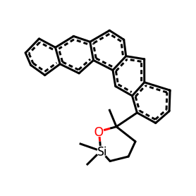 CC1(c2cccc3cc4ccc5cc6ccccc6cc5c4cc23)CCC[Si](C)(C)O1